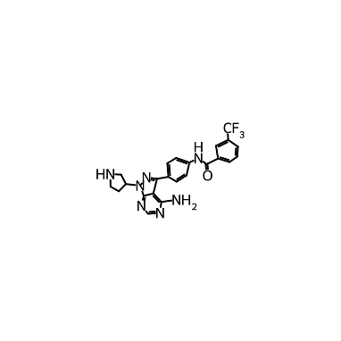 Nc1ncnc2c1c(-c1ccc(NC(=O)c3cccc(C(F)(F)F)c3)cc1)nn2C1CCNC1